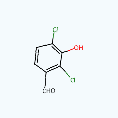 O=Cc1ccc(Cl)c(O)c1Cl